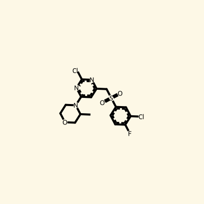 CC1COCCN1c1cc(CS(=O)(=O)c2ccc(F)c(Cl)c2)nc(Cl)n1